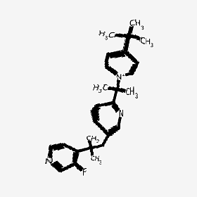 CC(C)(C)c1cc[n+](C(C)(C)c2ccc(CC(C)(C)c3ccncc3F)cn2)cc1